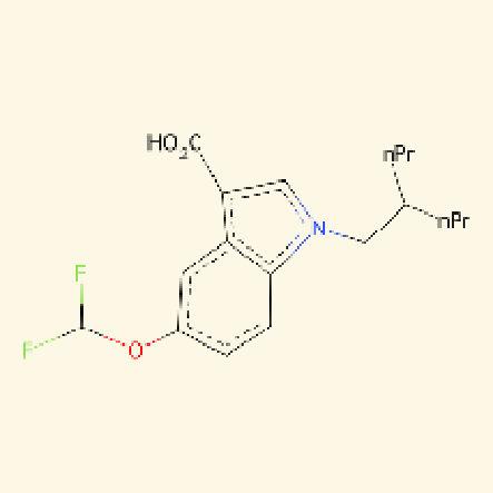 CCCC(CCC)Cn1cc(C(=O)O)c2cc(OC(F)F)ccc21